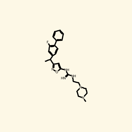 CC(c1ccc(-c2ccccc2)c(F)c1)c1cc(NC(=N)NCCN2CCN(C)CC2)on1